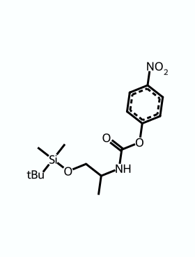 CC(CO[Si](C)(C)C(C)(C)C)NC(=O)Oc1ccc([N+](=O)[O-])cc1